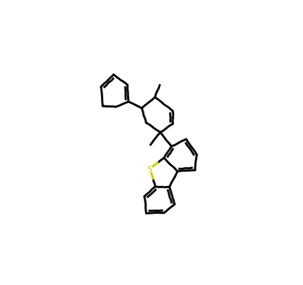 CC1C=CC(C)(c2cccc3c2sc2ccccc23)CC1C1=CC=CCC1